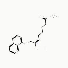 COC(=O)CCCC/C=C(\COc1cccc2ccccc12)C(=O)O